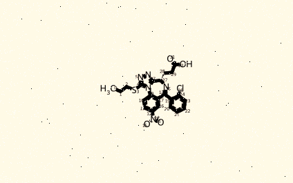 CCCSc1nnc2n1-c1ccc([N+](=O)[O-])cc1C(c1ccccc1Cl)=N[C@H]2CCC(=O)O